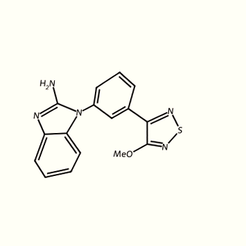 COc1nsnc1-c1cccc(-n2c(N)nc3ccccc32)c1